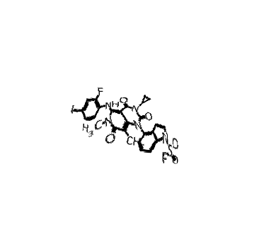 Cc1c(=O)n(C)c(Nc2ccc(I)cc2F)c2c(=O)n(C3CC3)c(=O)n(-c3cccc4c3ccn4S(=O)(=O)F)c12